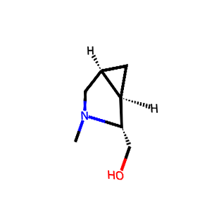 CN1C[C@H]2C[C@H]2[C@@H]1CO